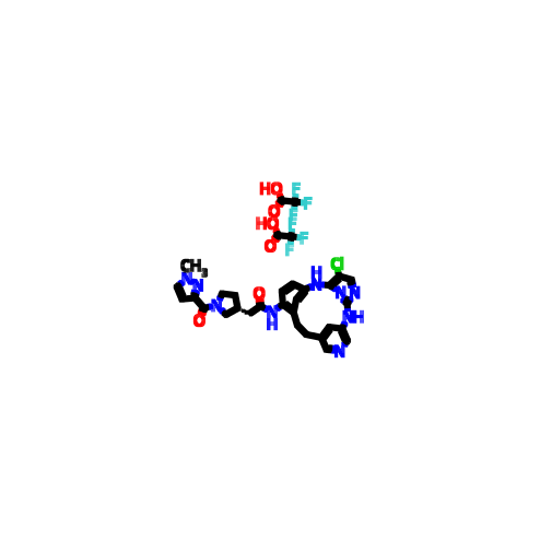 Cn1ccc(C(=O)N2CC[C@H](CC(=O)Nc3ccc4cc3CCc3cncc(c3)Nc3ncc(Cl)c(n3)N4)C2)n1.O=C(O)C(F)(F)F.O=C(O)C(F)(F)F